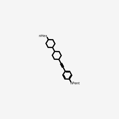 CCCCCCC1CCC(C2CCC(C#Cc3ccc(CCCCC)cc3)CC2)CC1